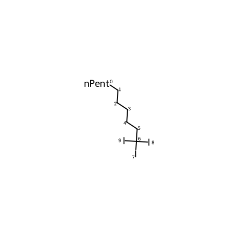 CCCCCCCCCCC(I)(I)I